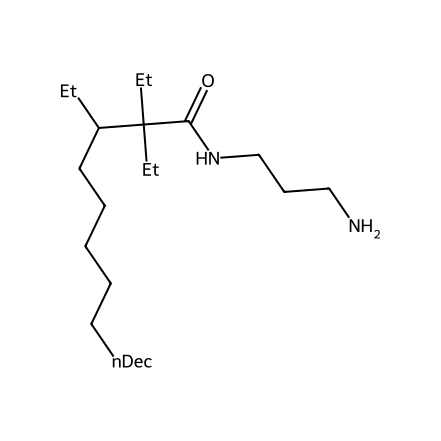 CCCCCCCCCCCCCCCC(CC)C(CC)(CC)C(=O)NCCCN